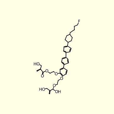 C=C(CO)C(=O)OCCOc1cc(-c2ccc(-c3ccc(C4CCC(CCCCF)CC4)cc3)cc2)ccc1OCCOC(O)C(=C)CO